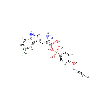 CC#CCOc1ccc(S(=O)(=O)OC(=O)[C@@H](N)Cc2c[nH]c3ccc(Cl)cc23)cc1